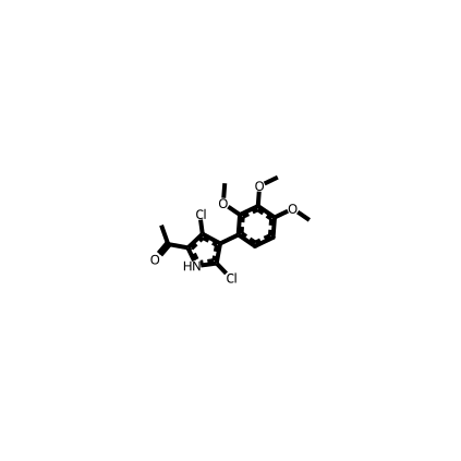 COc1ccc(-c2c(Cl)[nH]c(C(C)=O)c2Cl)c(OC)c1OC